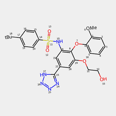 COc1ccccc1Oc1c(NS(=O)(=O)c2ccc(C(C)(C)C)cc2)cc(-c2nnn[nH]2)cc1OCCO